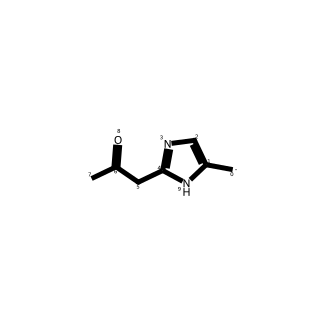 [CH2]c1cnc(CC(C)=O)[nH]1